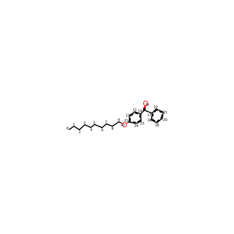 CCCCCCCCCCOc1ccc(C(=O)c2cc[c]cc2)cc1